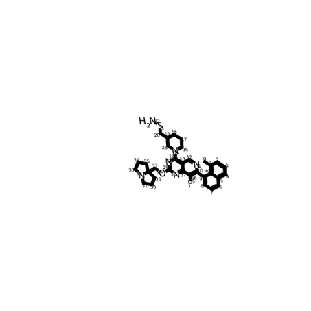 Cc1cccc2cccc(-c3ncc4c(N5CCCC(CSN)C5)nc(OCC56CCCN5CCC6)nc4c3F)c12